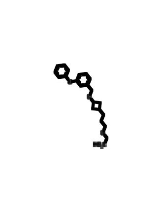 O=C(O)COCCCC1CC(OCc2cccc(Oc3ccccc3)c2)C1